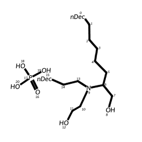 CCCCCCCCCCCCCCCC(CO)N(CCO)CCCCCCCCCCCC.O=P(O)(O)O